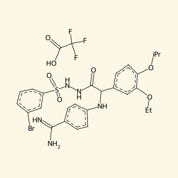 CCOc1cc(C(Nc2ccc(C(=N)N)cc2)C(=O)NNS(=O)(=O)c2cccc(Br)c2)ccc1OC(C)C.O=C(O)C(F)(F)F